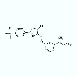 C/C(=C\C=O)c1cccc(OCc2nc(-c3ccc(C(F)(F)F)cc3)oc2C)c1